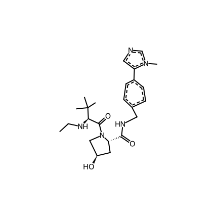 CCN[C@H](C(=O)N1C[C@H](O)C[C@H]1C(=O)NCc1ccc(-c2cncn2C)cc1)C(C)(C)C